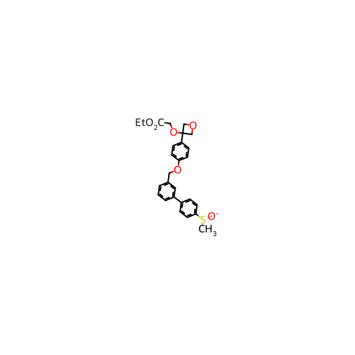 CCOC(=O)COC1(c2ccc(OCc3cccc(-c4ccc([S+](C)[O-])cc4)c3)cc2)COC1